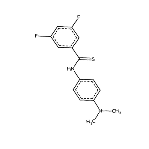 CN(C)c1ccc(NC(=S)c2cc(F)cc(F)c2)cc1